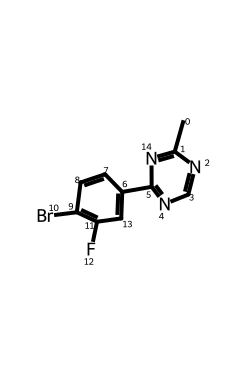 Cc1ncnc(-c2ccc(Br)c(F)c2)n1